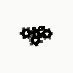 CC1(C(O)c2ccccc2)OC1(c1ccccc1)c1ccccc1